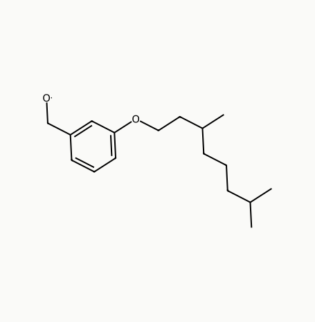 CC(C)CCCC(C)CCOc1cccc(C[O])c1